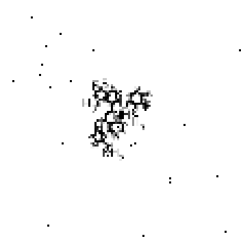 Cc1c(Oc2ncc(C(F)(F)F)c(C)c2-c2cc(=O)c3c(-n4nccc4CN)nccc3[nH]2)ccc(F)c1F